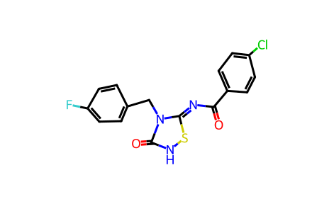 O=C(N=c1s[nH]c(=O)n1Cc1ccc(F)cc1)c1ccc(Cl)cc1